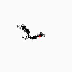 CCOc1ccc(C#Cc2ccc(OCCCCC(C)CCCCOc3ccc(C#Cc4ccc(C)c(F)c4F)c(F)c3)cc2F)c(F)c1F